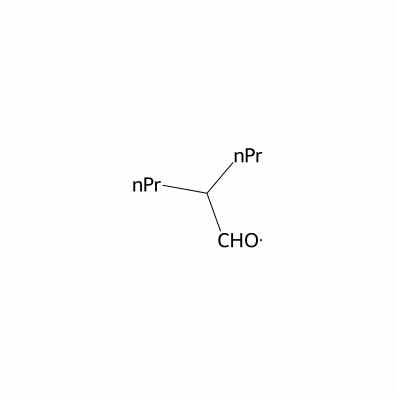 CCCC([C]=O)CCC